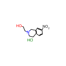 Cl.O=[N+]([O-])c1ccc2c(c1)CN(CCO)CC2